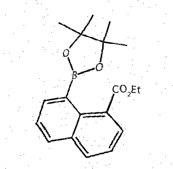 CCOC(=O)c1cccc2cccc(B3OC(C)(C)C(C)(C)O3)c12